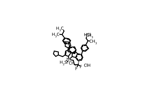 CCC(C)c1ccc(-c2cccc3c2C=C(CC2CCCC2)[CH]3[Zr]([CH3])(=[SiH2])([CH2]CC(F)(F)F)[CH]2C(CC3CCCC3)=Cc3c(-c4ccc(C(C)CC)cc4)cccc32)cc1.Cl.Cl